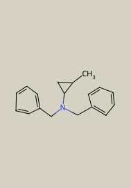 CC1CC1N(Cc1ccccc1)Cc1ccccc1